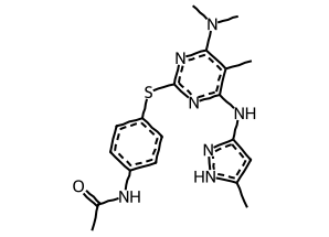 CC(=O)Nc1ccc(Sc2nc(Nc3cc(C)[nH]n3)c(C)c(N(C)C)n2)cc1